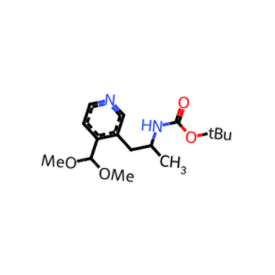 COC(OC)c1ccncc1CC(C)NC(=O)OC(C)(C)C